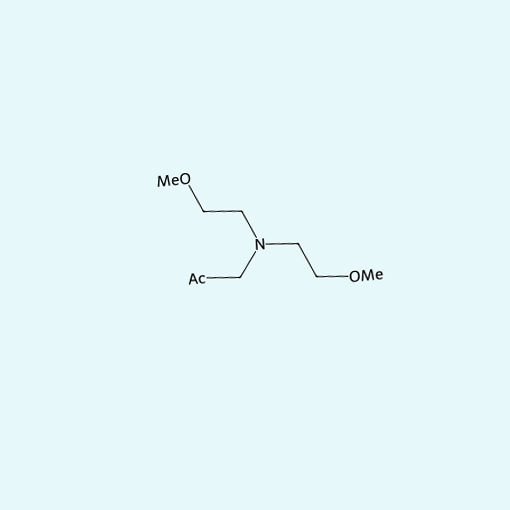 COCCN(CCOC)CC(C)=O